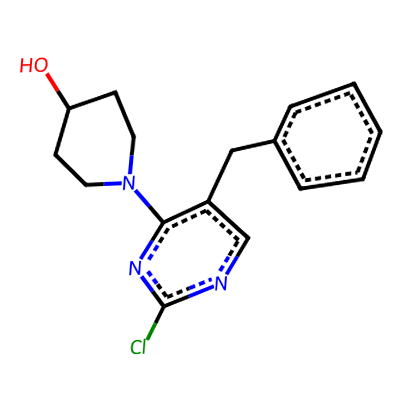 OC1CCN(c2nc(Cl)ncc2Cc2ccccc2)CC1